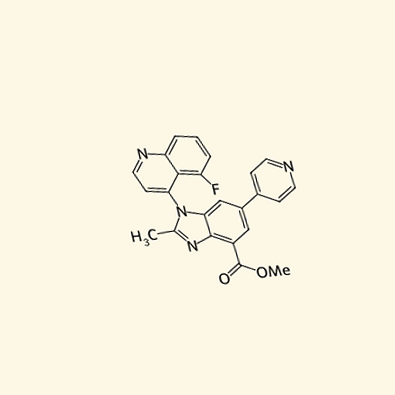 COC(=O)c1cc(-c2ccncc2)cc2c1nc(C)n2-c1ccnc2cccc(F)c12